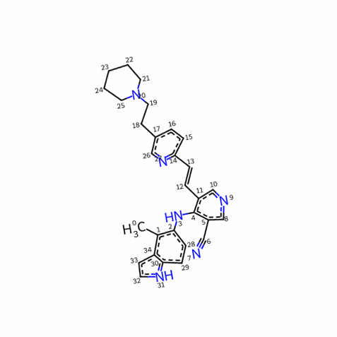 Cc1c(Nc2c(C#N)cncc2C=Cc2ccc(CCN3CCCCC3)cn2)ccc2[nH]ccc12